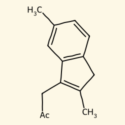 CC(=O)CC1=C(C)Cc2ccc(C)cc21